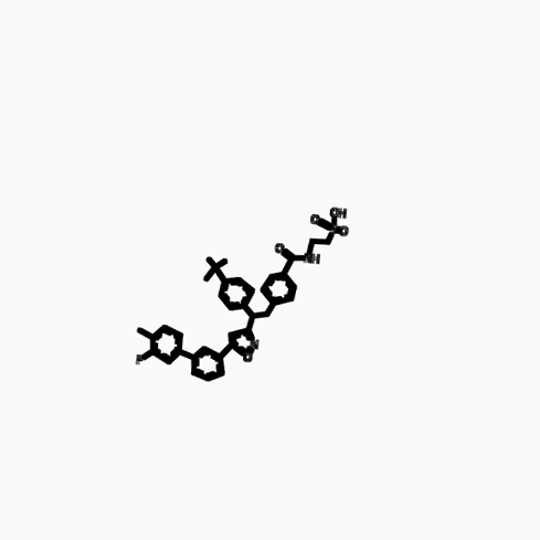 Cc1ccc(-c2cccc(-c3cc(C(Cc4ccc(C(=O)NCCS(=O)(=O)O)cc4)c4ccc(C(C)(C)C)cc4)no3)c2)cc1F